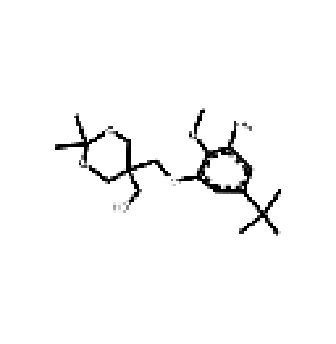 COc1c(N)cc(C(C)(C)C)cc1OCC1(CO)COC(C)(C)OC1